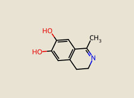 CC1=NCCc2cc(O)c(O)cc21